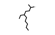 [CH2]C(C)CCC(CC)CCCCC